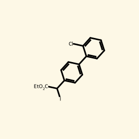 CCOC(=O)C(I)c1ccc(-c2ccccc2Cl)cc1